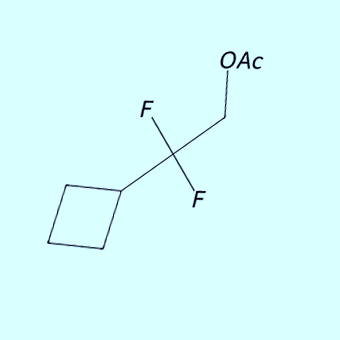 CC(=O)OCC(F)(F)C1CCC1